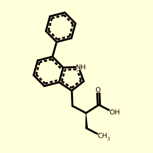 CC[C@@H](Cc1c[nH]c2c(-c3ccccc3)cccc12)C(=O)O